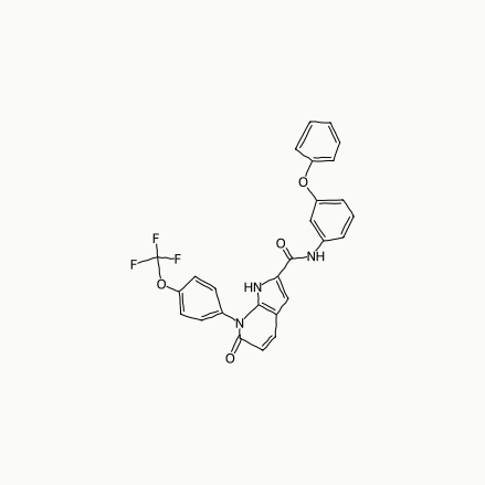 O=C(Nc1cccc(Oc2ccccc2)c1)c1cc2ccc(=O)n(-c3ccc(OC(F)(F)F)cc3)c2[nH]1